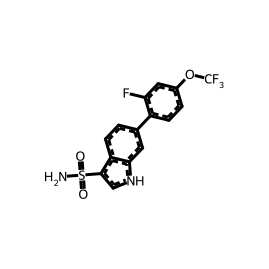 NS(=O)(=O)c1c[nH]c2cc(-c3ccc(OC(F)(F)F)cc3F)ccc12